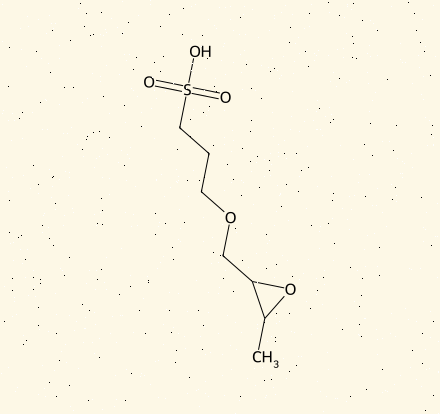 CC1OC1COCCCS(=O)(=O)O